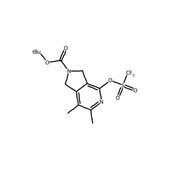 Cc1nc(OS(=O)(=O)C(F)(F)F)c2c(c1C)CN(C(=O)OC(C)(C)C)C2